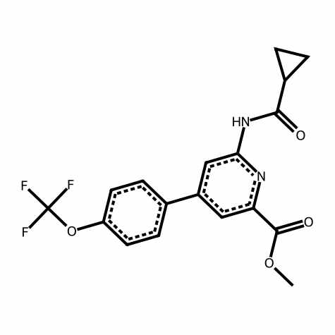 COC(=O)c1cc(-c2ccc(OC(F)(F)F)cc2)cc(NC(=O)C2CC2)n1